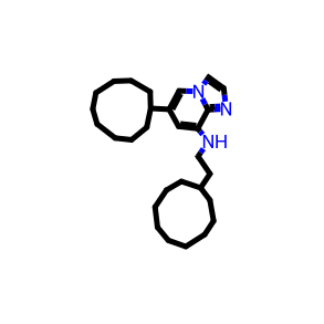 c1cn2cc(C3CCCCCCCCC3)cc(NCCC3CCCCCCCCC3)c2n1